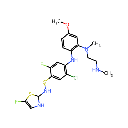 CNCCN(C)c1cc(OC)ccc1Nc1cc(F)c(SNC2NC=C(F)S2)cc1Cl